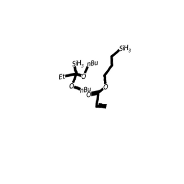 C=CC(=O)OCCC[SiH3].[CH2]CC([SiH3])(OCCCC)OCCCC